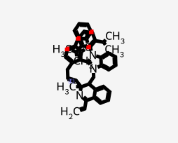 C=CC1=NC2(C)/C=C/Cc3ccc4c(oc5ccccc54)c3-c3n(-c4c(C(C)C)cccc4C(C)C)c4ccccc4[n+]3CC2c2ccccc21